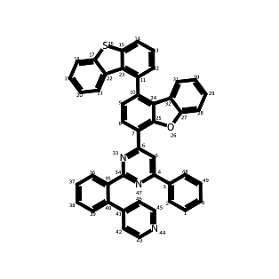 c1ccc(-c2cc(-c3ccc(-c4cccc5sc6ccccc6c45)c4c3oc3ccccc34)nc(-c3ccccc3-c3ccncc3)n2)cc1